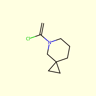 C=C(Cl)N1CCCC2(CC2)C1